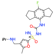 Cc1oc([S@@](=N)(=O)NC(=O)Nc2c3c(c(F)c4c2CCC4)CCC3)cc1CNC(C)C